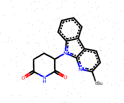 CC(C)(C)c1ccc2c3ccccc3n(C3CCC(=O)NC3=O)c2n1